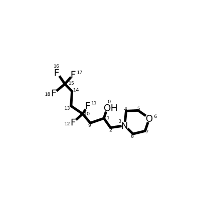 OC(CN1CCOCC1)CC(F)(F)CCC(F)(F)F